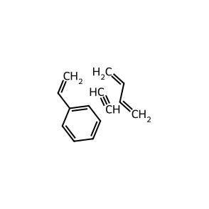 C#C.C=CC=C.C=Cc1ccccc1